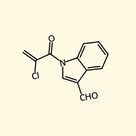 C=C(Cl)C(=O)n1cc(C=O)c2ccccc21